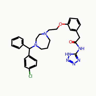 O=C(Cc1cccc(OCCN2CCCN(C(c3ccccc3)c3ccc(Cl)cc3)CC2)c1)Nc1nnn[nH]1